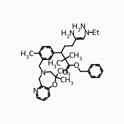 CCN(N)/C=C(\N)CCC(c1ccc(C)c(CN2Cc3ncccc3OC(C)(C)C2)c1)C(C)(C)C(=O)OCc1ccccc1